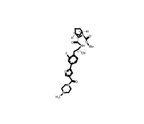 CN1CCN(C(=O)c2coc(-c3ccc(C[C@@H](C#N)NC(=O)[C@@H]4[C@H]5CC[C@H](C5)N4C(=O)OC(C)(C)C)c(F)c3)c2)CC1